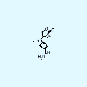 Cl.NNc1ccc(C[C@H]2COC(=O)N2)cc1